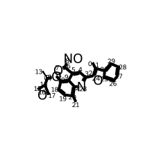 Cc1c(-c2cc(C(=O)N=O)c3c(O[C@H](C)C4COC4)ccc(C)c3n2)oc2ccccc12